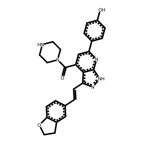 O=C(c1cc(-c2ccc(O)cc2)nc2[nH]nc(C=Cc3ccc4c(c3)CCO4)c12)N1CCNCC1